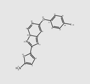 Nc1ccc(-c2nc3cc(Oc4ccc(I)cc4)ncn3n2)o1